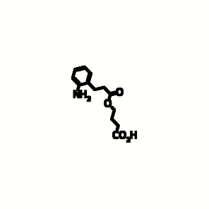 Nc1ccccc1CCC(=O)OCCCC(=O)O